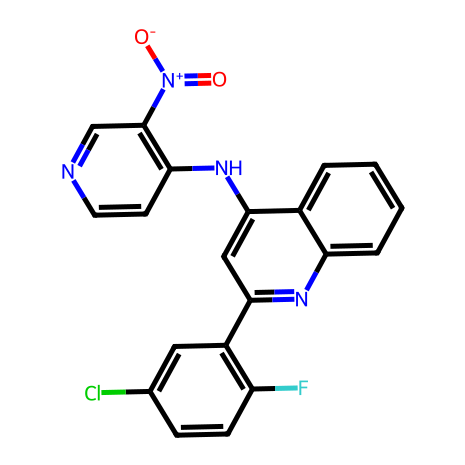 O=[N+]([O-])c1cnccc1Nc1cc(-c2cc(Cl)ccc2F)nc2ccccc12